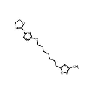 Cc1cc(CCCCCCCOc2ccc(C3=NCCO3)s2)on1